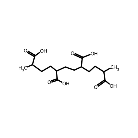 CC(CCC(CCC(CCC(C)C(=O)O)C(=O)O)C(=O)O)C(=O)O